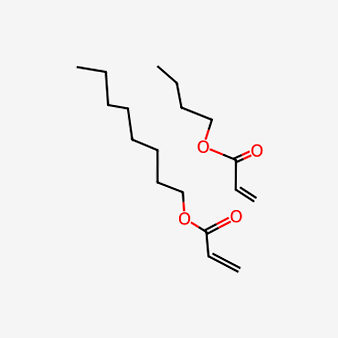 C=CC(=O)OCCCC.C=CC(=O)OCCCCCCCC